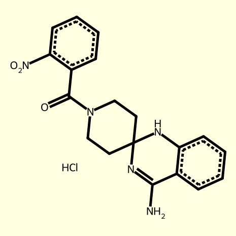 Cl.NC1=NC2(CCN(C(=O)c3ccccc3[N+](=O)[O-])CC2)Nc2ccccc21